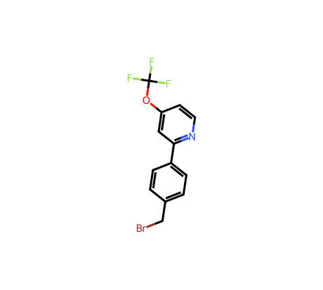 FC(F)(F)Oc1ccnc(-c2ccc(CBr)cc2)c1